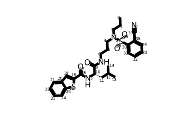 CCCN(CCCNC(=O)[C@H](CC(C)C)NC(=O)c1cc2ccccc2s1)S(=O)(=O)c1ccccc1C#N